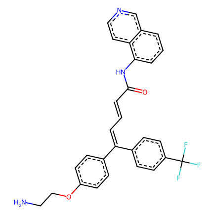 NCCOc1ccc(/C(=C/C=C/C(=O)Nc2cccc3cnccc23)c2ccc(C(F)(F)F)cc2)cc1